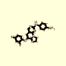 Nc1ccc(Nc2ncc3c(n2)N2CCN=C2C(Oc2ccc(F)cc2F)=C3)cc1